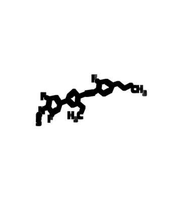 CCCCc1ccc(C#Cc2ccc(-c3cc(F)c(N=C=S)c(F)c3)cc2CC)c(F)c1